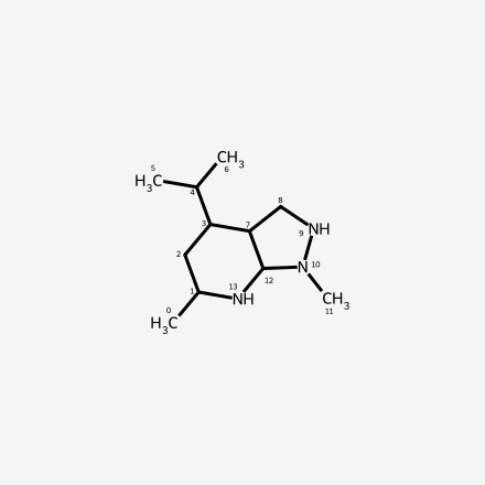 CC1CC(C(C)C)C2CNN(C)C2N1